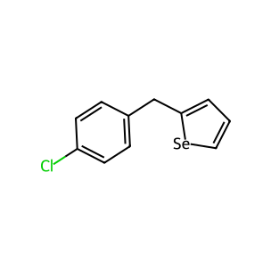 Clc1ccc(Cc2ccc[se]2)cc1